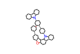 c1ccc(-c2ccc3oc4ccc5c6ccccc6n(-c6ccc(-c7ccc(-n8c9ccccc9c9ccccc98)cc7)cc6)c5c4c3c2)cc1